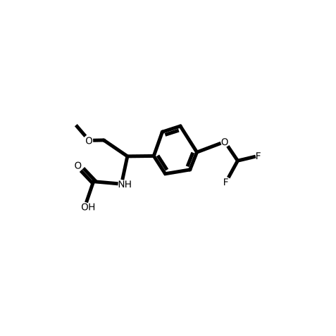 COCC(NC(=O)O)c1ccc(OC(F)F)cc1